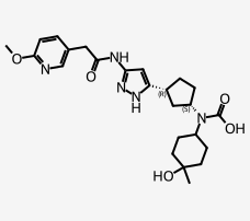 COc1ccc(CC(=O)Nc2cc([C@@H]3CC[C@H](N(C(=O)O)C4CCC(C)(O)CC4)C3)[nH]n2)cn1